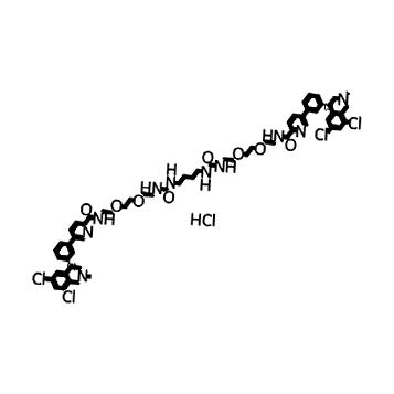 CN1Cc2c(Cl)cc(Cl)cc2[C@H](c2cccc(-c3ccc(C(=O)NCCOCCOCCNC(=O)NCCCCNC(=O)NCCOCCOCCNC(=O)c4ccc(-c5cccc([C@@H]6CN(C)Cc7c(Cl)cc(Cl)cc76)c5)cn4)nc3)c2)C1.Cl